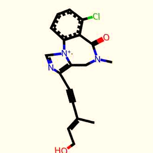 C/C(C#CC1=C2CN(C)C(=O)c3c(Cl)cccc3[N+]2C=N1)=C\CO